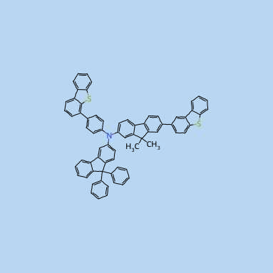 CC1(C)c2cc(-c3ccc4sc5ccccc5c4c3)ccc2-c2ccc(N(c3ccc(-c4cccc5c4sc4ccccc45)cc3)c3ccc4c(c3)-c3ccccc3C4(c3ccccc3)c3ccccc3)cc21